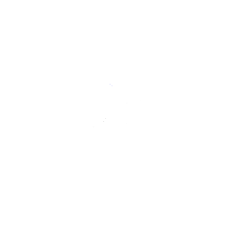 CCc1ccccc1Sc1ccccc1CNC